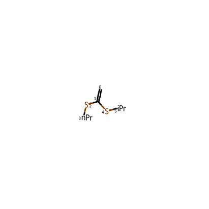 C=C(SCCC)SC(C)C